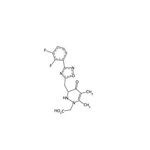 CC1=C(C)N(CC(=O)O)NC(Cc2nc(-c3cccc(F)c3F)no2)C1=O